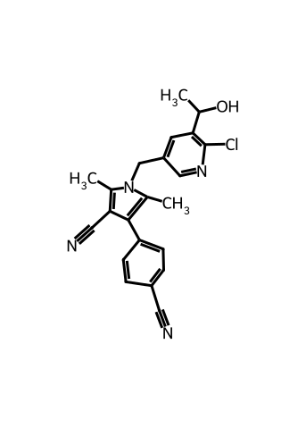 Cc1c(C#N)c(-c2ccc(C#N)cc2)c(C)n1Cc1cnc(Cl)c(C(C)O)c1